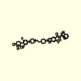 COc1cc2nn(C3CCC(CCN4CCN(c5cc(F)c(C6CCC(=O)NC6=O)c(F)c5)CC4)CC3)cc2cc1C(=O)Nc1cnc2cccnn12